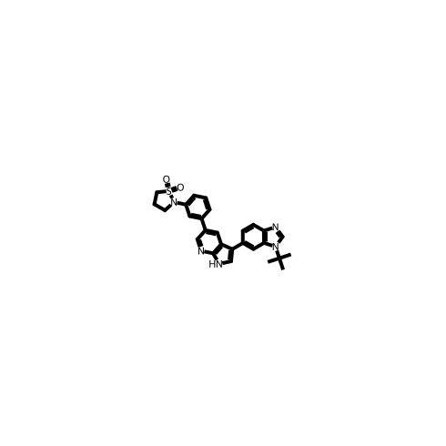 CC(C)(C)n1cnc2ccc(-c3c[nH]c4ncc(-c5cccc(N6CCCS6(=O)=O)c5)cc34)cc21